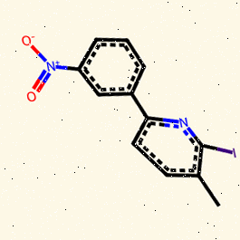 Cc1ccc(-c2cccc([N+](=O)[O-])c2)nc1I